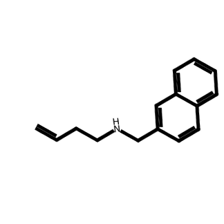 C=CCCNCc1ccc2ccccc2c1